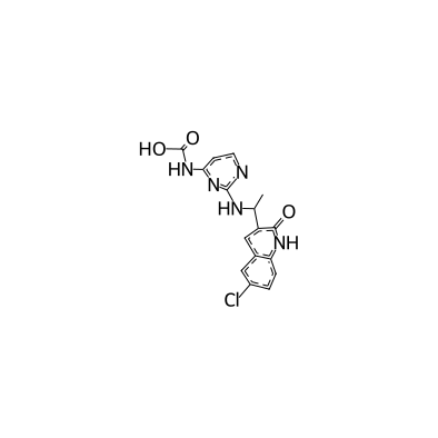 CC(Nc1nccc(NC(=O)O)n1)c1cc2cc(Cl)ccc2[nH]c1=O